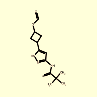 CC(C)(C)C(=O)Nc1cc(C2CC(OC=O)C2)[nH]n1